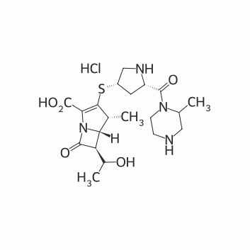 CC(O)[C@H]1C(=O)N2C(C(=O)O)=C(S[C@@H]3CN[C@H](C(=O)N4CCNCC4C)C3)[C@H](C)[C@H]12.Cl